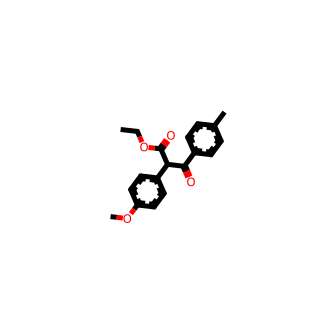 CCOC(=O)C(C(=O)c1ccc(C)cc1)c1ccc(OC)cc1